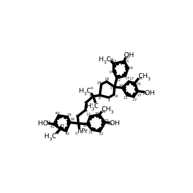 CCCC(CCCC(C)(C)C1CCC(c2ccc(O)c(C)c2)(c2ccc(O)c(C)c2)CC1)(c1ccc(O)c(C)c1)c1ccc(O)c(C)c1